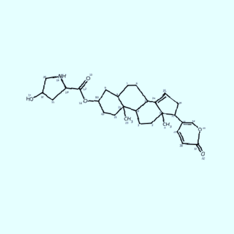 CC12CCC3C(CCC4CC(OC(=O)C5CC(O)CN5)CCC43C)C1=CCC2c1ccc(=O)oc1